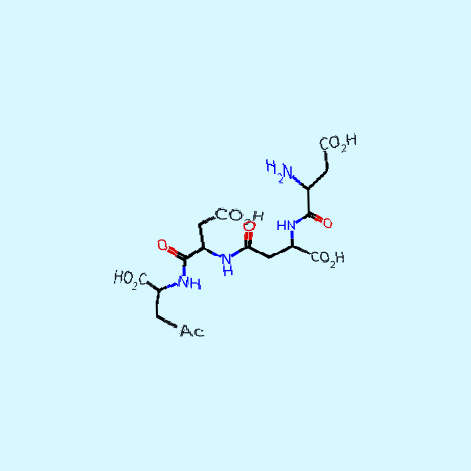 CC(=O)CC(NC(=O)C(CC(=O)O)NC(=O)CC(NC(=O)C(N)CC(=O)O)C(=O)O)C(=O)O